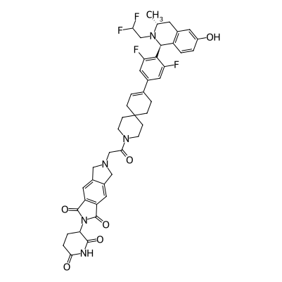 C[C@@H]1Cc2cc(O)ccc2[C@@H](c2c(F)cc(C3=CCC4(CC3)CCN(C(=O)CN3Cc5cc6c(cc5C3)C(=O)N(C3CCC(=O)NC3=O)C6=O)CC4)cc2F)N1CC(F)F